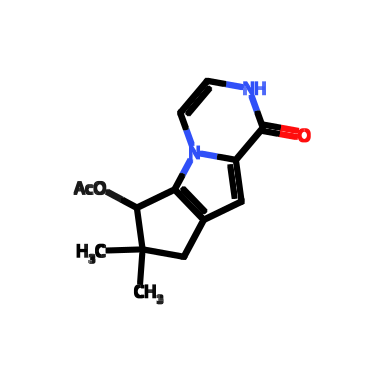 CC(=O)OC1c2c(cc3c(=O)[nH]ccn23)CC1(C)C